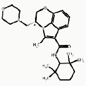 Cc1c(C(=O)NC2C(C)(C)CCCC2(C)C)c2cccc3c2n1[C@H](CN1CCOCC1)CO3